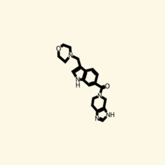 O=C(c1ccc2c(CN3CCOCC3)c[nH]c2c1)N1CCc2nc[nH]c2C1